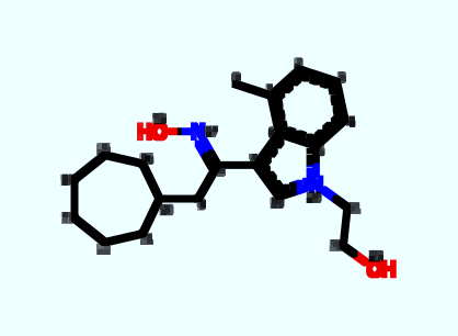 Cc1cccc2c1c(C(CC1CCCCCC1)=NO)cn2CCO